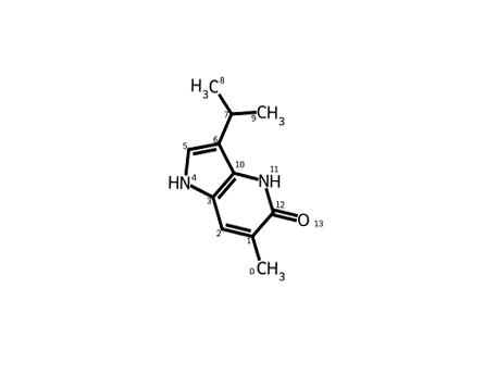 Cc1cc2[nH]cc(C(C)C)c2[nH]c1=O